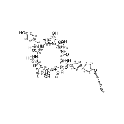 C#CC#CC#COc1ccc(-c2ccc(C(=O)N[C@H]3CC(O)C(OC)NC(=O)[C@@H]4[C@@H](O)[C@@H](C)CN4C(=O)[C@H](CO)NC(=O)[C@H]([C@H](O)Cc4ccc(O)cc4)NC(=O)[C@@H]4C[C@@H](O)CN4C(=O)[C@H]([C@@H](C)O)NC3=O)cc2)cc1